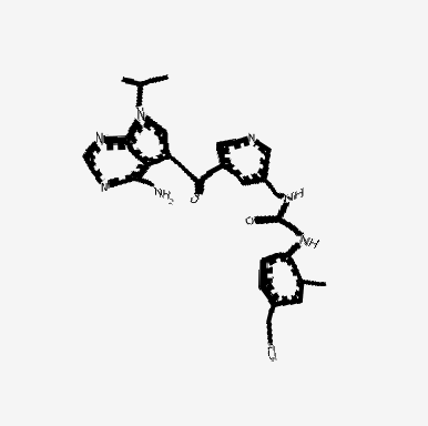 Cc1cc(Cl)ccc1NC(=O)Nc1cncc(C(=O)c2cn(C(C)C)c3ncnc(N)c23)c1